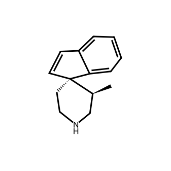 C[C@H]1CNCC[C@@]12C=Cc1ccccc12